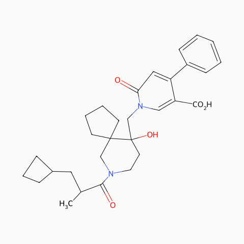 CC(CC1CCC1)C(=O)N1CCC(O)(Cn2cc(C(=O)O)c(-c3ccccc3)cc2=O)C2(CCCC2)C1